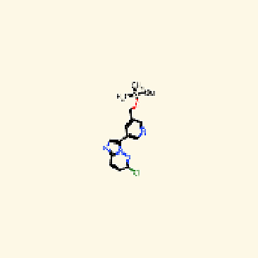 CC(C)(C)[Si](C)(C)OCc1cncc(-c2cnc3ccc(Cl)nn23)c1